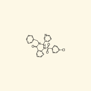 O=C(c1ccccc1NS(=O)(=O)c1ccc(Cl)cc1)N(Cc1ccccc1)Cc1cccnc1